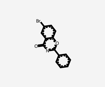 O=c1nc(-c2ccccc2)oc2ccc(Br)cc12